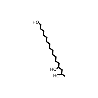 CC(O)CC(O)CCCCCCCCCCCCCO